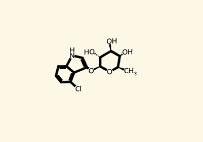 C[C@H]1O[C@@H](Oc2c[nH]c3cccc(Cl)c23)[C@H](O)[C@@H](O)[C@@H]1O